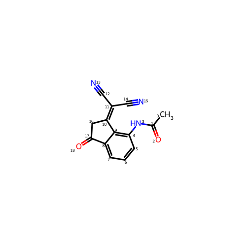 CC(=O)Nc1cccc2c1C(=C(C#N)C#N)CC2=O